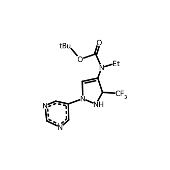 CCN(C(=O)OC(C)(C)C)C1=CN(c2cncnc2)NC1C(F)(F)F